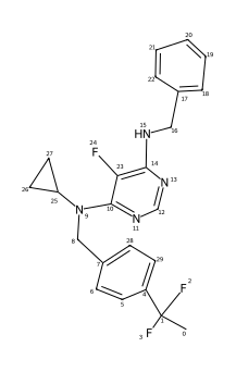 CC(F)(F)c1ccc(CN(c2ncnc(NCc3ccccc3)c2F)C2CC2)cc1